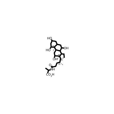 CC(NC(=O)CC[C@@H](C)[C@H]1CCC2C3C(O)CC4CC(O)CC(O)[C@]4(C)C3CC(O)[C@@]21C)C(=O)O